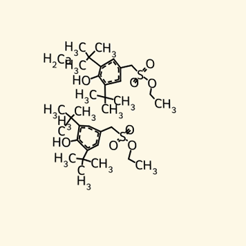 CCOS(=O)(=O)Cc1cc(C(C)(C)C)c(O)c(C(C)(C)C)c1.CCOS(=O)(=O)Cc1cc(C(C)(C)C)c(O)c(C(C)(C)C)c1.[CaH2]